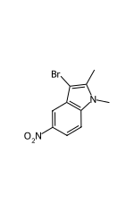 Cc1c(Br)c2cc([N+](=O)[O-])ccc2n1C